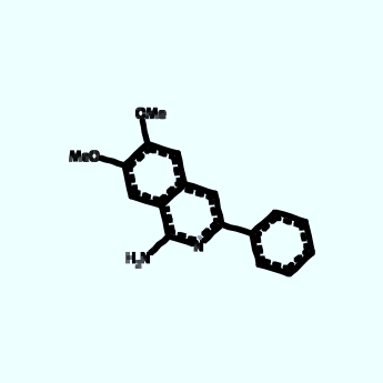 COc1cc2cc(-c3ccccc3)nc(N)c2cc1OC